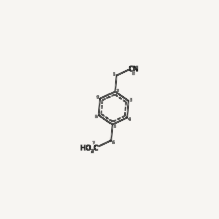 N#CCc1ccc(CC(=O)O)cc1